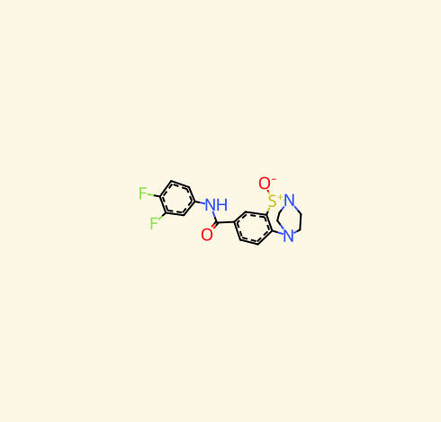 O=C(Nc1ccc(F)c(F)c1)c1ccc2c(c1)[S+]([O-])N1CCN2CC1